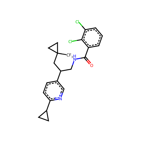 O=C(NCC(CC1(C(F)(F)F)CC1)c1ccc(C2CC2)nc1)c1cccc(Cl)c1Cl